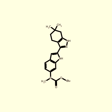 CN(C(=O)OC(C)(C)C)c1ccc2cc(-c3n[nH]c4c3CCC(C)(C)C4)[nH]c2c1